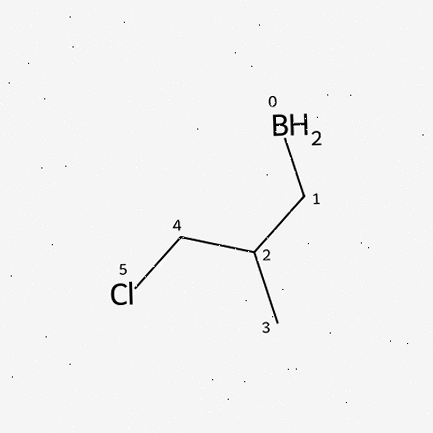 BCC(C)CCl